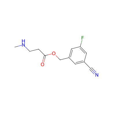 CNCCC(=O)OCc1cc(F)cc(C#N)c1